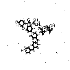 CC(C)n1c(=O)n(C2CCC(=O)NC2=O)c2ccc(N3CCC(CN4CCC(CC5CCNCC5)CC4)CC3)cc21.O=C(O)C(F)(F)F.O=C(O)C(F)(F)F